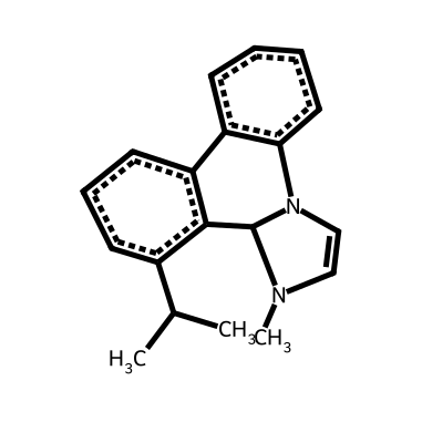 CC(C)c1cccc2c1C1N(C)C=CN1c1ccccc1-2